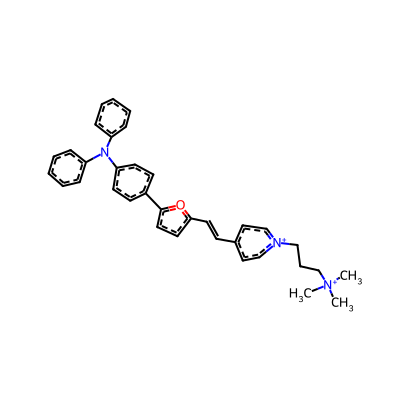 C[N+](C)(C)CCC[n+]1ccc(/C=C/c2ccc(-c3ccc(N(c4ccccc4)c4ccccc4)cc3)o2)cc1